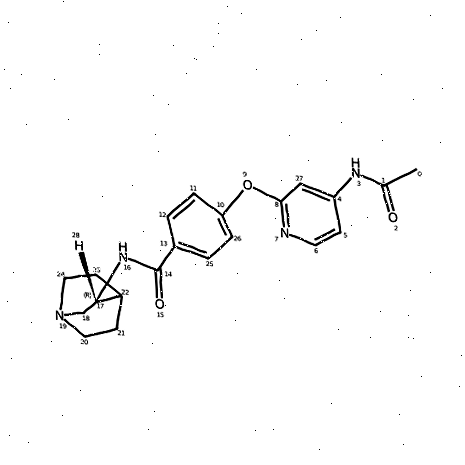 CC(=O)Nc1ccnc(Oc2ccc(C(=O)N[C@H]3CN4CCC3CC4)cc2)c1